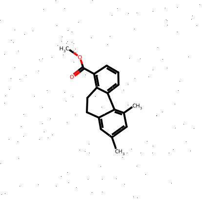 COC(=O)c1cccc2c1CCc1cc(C)cc(C)c1-2